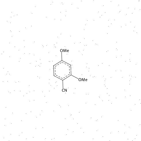 COc1[c]c(OC)c(C#N)cc1